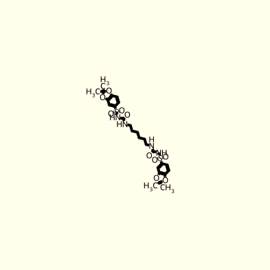 CC1(C)Oc2ccc(S(=O)(=O)NC(=O)NCCCCCCNC(=O)NS(=O)(=O)c3ccc4c(c3)OC(C)(C)O4)cc2O1